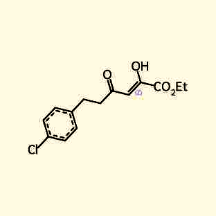 CCOC(=O)/C(O)=C/C(=O)CCc1ccc(Cl)cc1